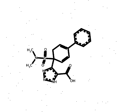 CN(C)S(=O)(=O)C1(c2nn[nH]c2C(=O)O)C=CC(c2ccccc2)=CC1